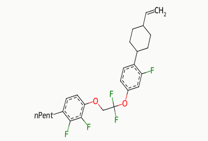 C=CC1CCC(c2ccc(OC(F)(F)COc3ccc(CCCCC)c(F)c3F)cc2F)CC1